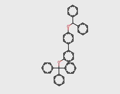 [c]1ccc(OC(c2ccccc2)(c2ccccc2)c2ccccc2)cc1-c1ccc(OC(c2ccccc2)c2ccccc2)cc1